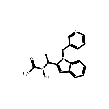 CC(c1cc2ccccc2n1Cc1cccnc1)N(O)C(N)=O